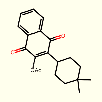 CC(=O)OC1=C(C2CCC(C)(C)CC2)C(=O)c2ccccc2C1=O